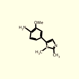 COc1cc(-c2cnc(C)n2C)ccc1N